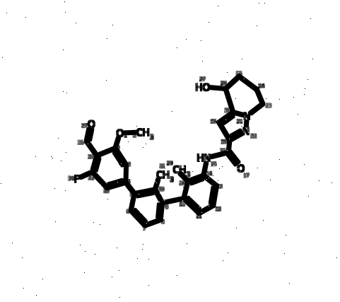 COc1cc(-c2cccc(-c3cccc(NC(=O)c4cc5n(n4)CCCC5O)c3C)c2C)cc(F)c1C=O